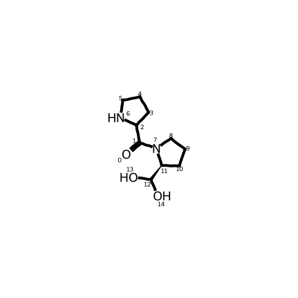 O=C(C1CCCN1)N1CCC[C@H]1C(O)O